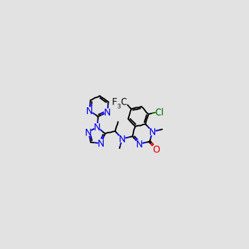 CC(c1ncnn1-c1ncccn1)N(C)c1nc(=O)n(C)c2c(Cl)cc(C(F)(F)F)cc12